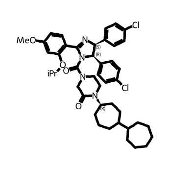 COc1ccc(C2=N[C@@H](c3ccc(Cl)cc3)[C@@H](c3ccc(Cl)cc3)N2C(=O)N2CCN([C@@H]3CCCC(C4CCCCCC4)CC3)C(=O)C2)c(OC(C)C)c1